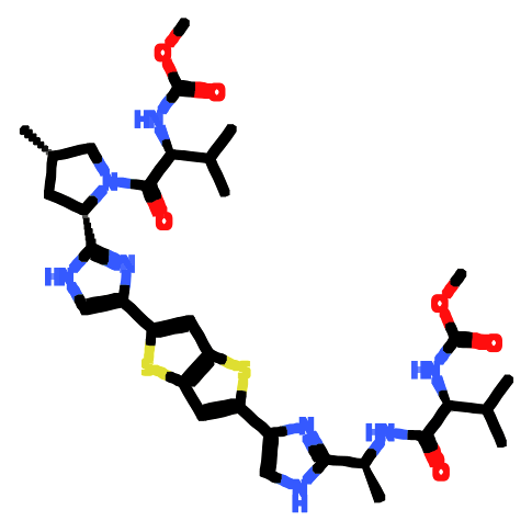 COC(=O)N[C@H](C(=O)N[C@@H](C)c1nc(-c2cc3sc(-c4c[nH]c([C@@H]5C[C@H](C)CN5C(=O)[C@@H](NC(=O)OC)C(C)C)n4)cc3s2)c[nH]1)C(C)C